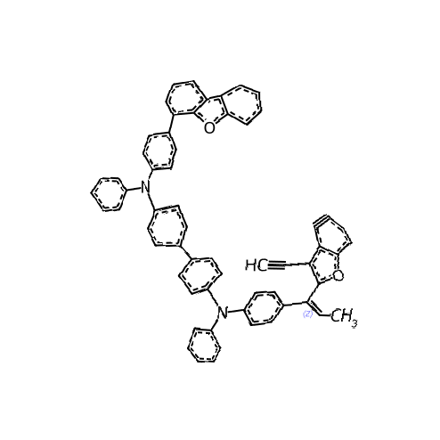 C#Cc1c(/C(=C\C)c2ccc(N(c3ccccc3)c3ccc(-c4ccc(N(c5ccccc5)c5ccc(-c6cccc7c6oc6ccccc67)cc5)cc4)cc3)cc2)oc2ccc#cc12